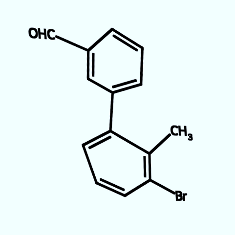 Cc1c(Br)cccc1-c1cccc(C=O)c1